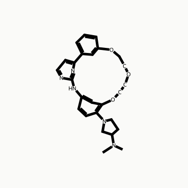 CN(C)C1CCN(c2ccc3cc2OCCOCCOc2cccc(c2)-c2ccnc(n2)N3)C1